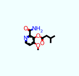 COc1ccnc(C(N)=O)c1OC(=O)CC(C)C